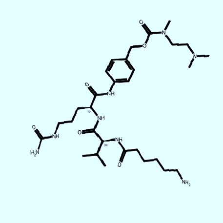 CC(C)[C@H](NC(=O)CCCCCN)C(=O)N[C@@H](CCCNC(N)=O)C(=O)Nc1ccc(COC(=O)N(C)CCN(C)C)cc1